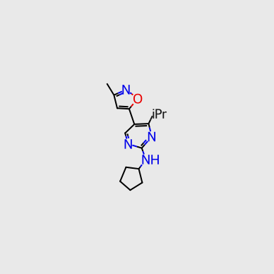 Cc1cc(-c2cnc(NC3CCCC3)nc2C(C)C)on1